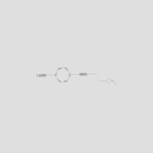 CCCC#Cc1ccc(C#N)cc1